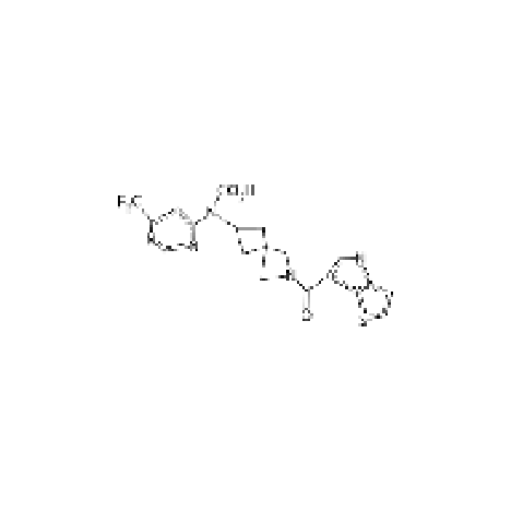 O=C(c1cnn2ccsc12)N1CC2(CC(N(C(=O)O)c3cc(C(F)(F)F)ncn3)C2)C1